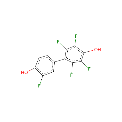 Oc1ccc(-c2c(F)c(F)c(O)c(F)c2F)cc1F